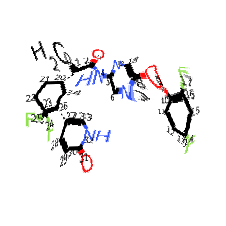 C=C(C(=O)Nc1cnc(Oc2ccc(F)cc2F)cn1)[C@H]1CCC(F)(F)[C@@H](c2ccc(=O)[nH]c2)C1